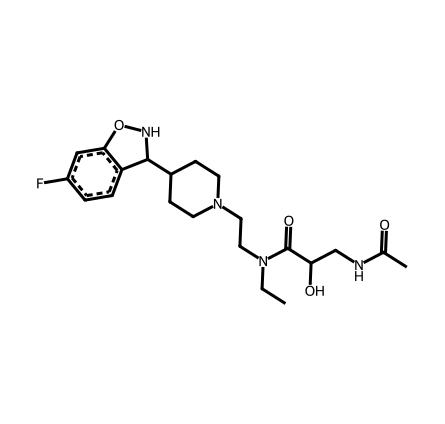 CCN(CCN1CCC(C2NOc3cc(F)ccc32)CC1)C(=O)C(O)CNC(C)=O